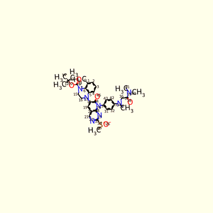 Cc1cccc2c1N(C(=O)OC(C)(C)C)CCN2c1cc2cnc([S+](C)[O-])nc2n(-c2ccc(N(C)CC(=O)N(C)C)cc2)c1=O